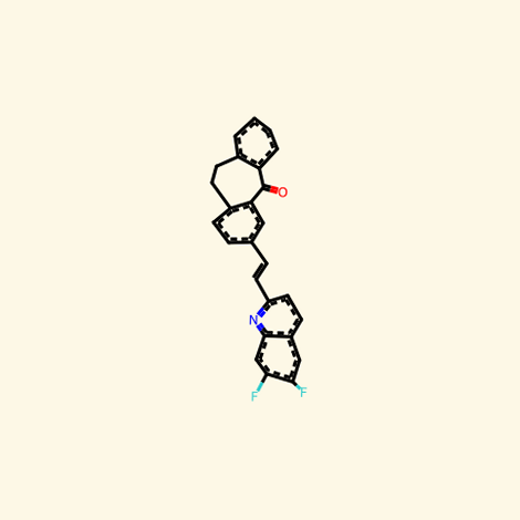 O=C1c2ccccc2CCc2ccc(C=Cc3ccc4cc(F)c(F)cc4n3)cc21